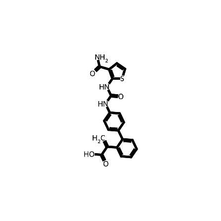 C=C(C(=O)O)c1ccccc1-c1ccc(NC(=O)Nc2sccc2C(N)=O)cc1